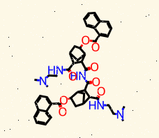 CN(C)CCNC(=O)C1C2CC(OC(=O)c3cccc4ccccc34)C(C2)C1C(=O)NC(=O)C1C2CC(CC2OC(=O)c2cccc3ccccc23)C1C(=O)NCCN(C)C